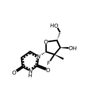 C[C@]1(F)[C@H](O)[C@@H](CO)O[C@H]1n1ccc(=O)[nH]c1=O